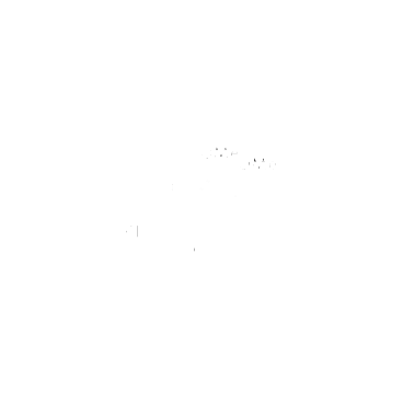 COc1cc2c(c(C(F)(F)F)c1OC)C(CCCl)OCC2